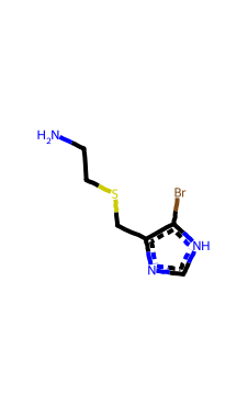 NCCSCc1nc[nH]c1Br